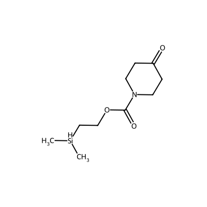 C[SiH](C)CCOC(=O)N1CCC(=O)CC1